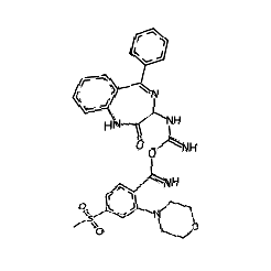 CS(=O)(=O)c1ccc(C(=N)OC(=N)NC2N=C(c3ccccc3)c3ccccc3NC2=O)c(N2CCOCC2)c1